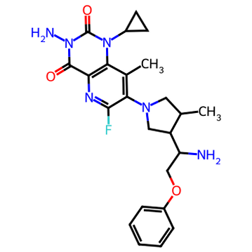 Cc1c(N2CC(C)C(C(N)COc3ccccc3)C2)c(F)nc2c(=O)n(N)c(=O)n(C3CC3)c12